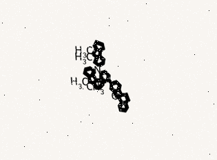 CC1(C)c2ccccc2-c2ccc(N(c3ccc(-c4ccc5c(c4)oc4c6ccccc6ccc54)cc3)c3cccc4c3-c3ccccc3C4(C)C)cc21